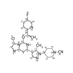 Cc1c(-c2cc3ncc(Cl)n3c(O[C@H](C)c3ccc(F)cn3)n2)cnn1C1CCN(C#N)CC1